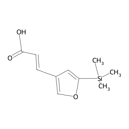 C[Si](C)(C)c1cc(C=CC(=O)O)co1